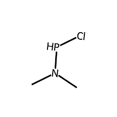 CN(C)PCl